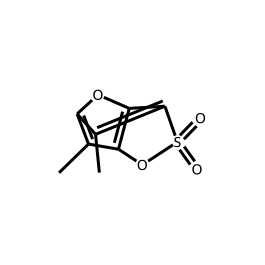 Cc1c2c3oc1c(C)c3S(=O)(=O)O2